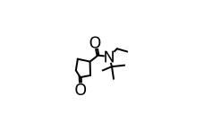 CCN(C(=O)C1CCC(=O)C1)C(C)(C)C